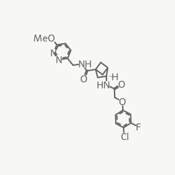 COc1ccc(CNC(=O)C23CC(C2)[C@@H](NC(=O)COc2ccc(Cl)c(F)c2)C3)nn1